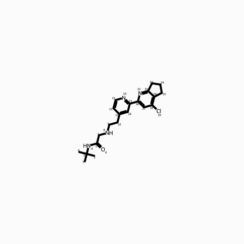 CC(C)(C)NC(=O)CNCCc1ccnc(-c2cc(Cl)c3c(n2)CCC3)c1